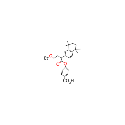 CCOCCC(C(=O)Oc1ccc(C(=O)O)cc1)c1ccc2c(c1)C(C)(C)CCC2(C)C